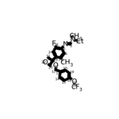 CCN(C)C=Nc1cc(C)c(C2(OCc3ccc(OC(F)(F)F)cc3)COC2)cc1F